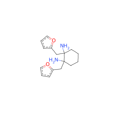 NC1(Cc2ccco2)CCCCC1(N)Cc1ccco1